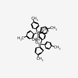 Cc1ccc([Si](O[PH](=O)O[Si](c2ccc(C)cc2)(c2ccc(C)cc2)c2ccc(C)cc2)(c2ccc(C)cc2)c2ccc(C)cc2)cc1